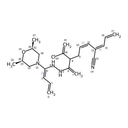 C=C/C=C(\NNC(=C)C(C/C=C\C(C#N)=C/C=C)C(=C)Cl)N1C[C@@H](C)O[C@@H](C)C1